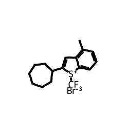 Cc1cccc2c1cc(C1CCCCCC1)[s+]2C(F)(F)F.[Br-]